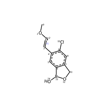 CO/N=C/c1cc2c(cc1Cl)COB2O